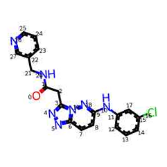 O=C(Cc1nnc2ccc(Nc3cccc(Cl)c3)nn12)NCc1cccnc1